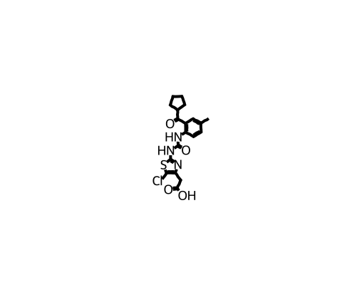 Cc1ccc(NC(=O)Nc2nc(CC(=O)O)c(Cl)s2)c(C(=O)C2CCCC2)c1